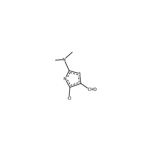 CN(C)c1nc(Cl)c(C=O)s1